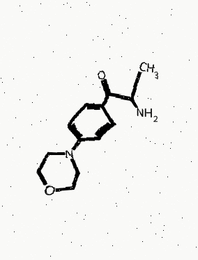 CC(N)C(=O)c1ccc(N2CCOCC2)cc1